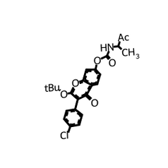 CC(=O)C(C)NC(=O)Oc1ccc2c(=O)c(-c3ccc(Cl)cc3)c(OC(C)(C)C)oc2c1